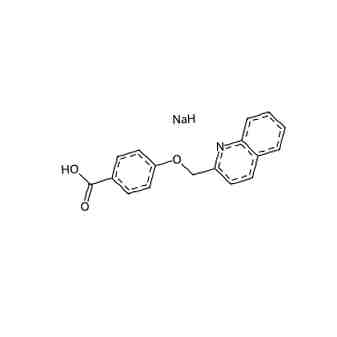 O=C(O)c1ccc(OCc2ccc3ccccc3n2)cc1.[NaH]